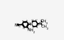 CN(C)C1CCN(c2ccc(C#N)cc2N)CC1